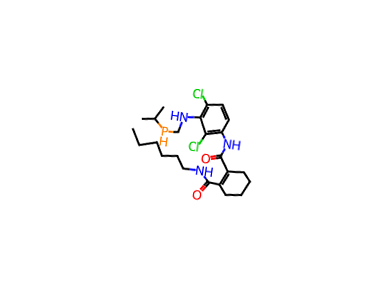 CCCCCCNC(=O)C1=C(C(=O)Nc2ccc(Cl)c(NCPC(C)C)c2Cl)CCCC1